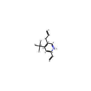 C=CCc1cnc(C=C)cc1C(C)(C)C